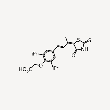 CC(/C=C/c1cc(C(C)C)c(OCC(=O)O)c(C(C)C)c1)=C1\SC(=S)NC1=O